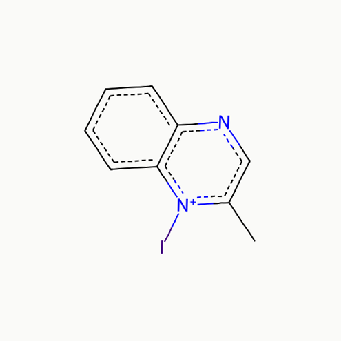 Cc1cnc2ccccc2[n+]1I